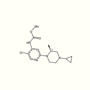 C[C@H]1CN(C2CC2)CCN1c1cc(NC(=O)OC(C)(C)C)c(Cl)cn1